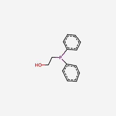 OCCP(c1ccccc1)c1ccccc1